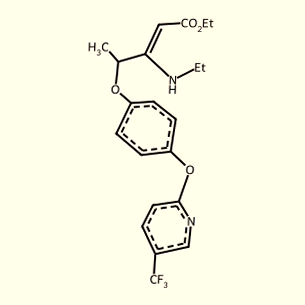 CCNC(=CC(=O)OCC)C(C)Oc1ccc(Oc2ccc(C(F)(F)F)cn2)cc1